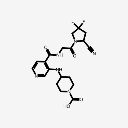 N#CC1CC(F)(F)CN1C(=O)CNC(=O)c1ccncc1NC1CCN(C(=O)O)CC1